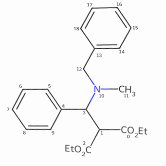 CCOC(=O)C(C(=O)OCC)C(c1ccccc1)N(C)Cc1ccccc1